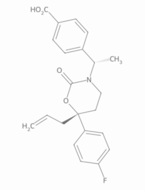 C=CC[C@]1(c2ccc(F)cc2)CCN([C@@H](C)c2ccc(C(=O)O)cc2)C(=O)O1